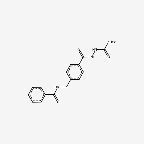 CCCCCCC(=O)NNC(=O)c1ccc(CNC(=O)c2ccccc2)cc1